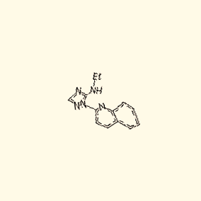 CCNc1ncnn1-c1ccc2ccccc2n1